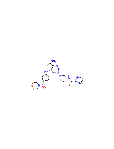 NC(=O)c1nnc(N2CCCC(NC(=O)c3ncccn3)C2)nc1Nc1ccc(C(=O)N2CCOCC2)cc1